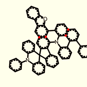 c1ccc(-c2ccccc2-c2ccccc2N(c2ccccc2-c2cccc3c2oc2ccccc23)c2cccc3c2-c2ccccc2C32c3ccccc3N(c3ccccc3)c3ccccc32)cc1